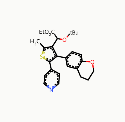 CCOC(=O)C(OC(C)(C)C)c1c(C)sc(-c2ccncc2)c1-c1ccc2c(c1)CCCO2